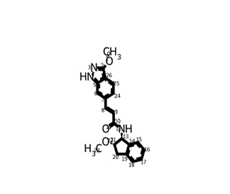 COc1n[nH]c2cc(/C=C/C(=O)N[C@H]3c4ccccc4C[C@@H]3OC)ccc12